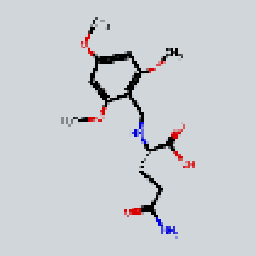 COc1cc(OC)c(CN[C@@H](CCC(N)=O)C(=O)O)c(OC)c1